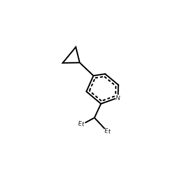 CCC(CC)c1cc(C2CC2)ccn1